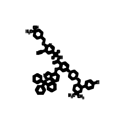 CC1(C)CCC(CN2CCN(c3ccc(C(=O)NS(=O)(=O)c4cnc(OCC5CCC(C)(O)CC5)c(C#N)c4)c(Oc4cccc5c4cnn5C(c4ccccc4)(c4ccccc4)c4ccccc4)c3)CC2)=C(c2ccc(Cl)cc2)C1